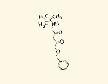 CC(C)(C)NCC(=O)CC(=O)COCc1ccccc1